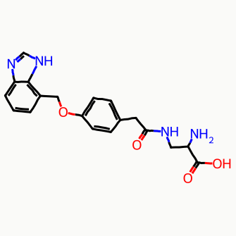 NC(CNC(=O)Cc1ccc(OCc2cccc3nc[nH]c23)cc1)C(=O)O